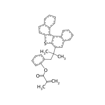 C=C(C)C(=O)Oc1ccccc1CC(C)(C)c1cc2ccccc2c2c1sc1ccc3ccccc3c12